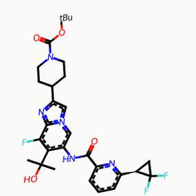 CC(C)(C)OC(=O)N1CCC(c2cn3cc(NC(=O)c4cccc([C@H]5CC5(F)F)n4)c(C(C)(C)O)c(F)c3n2)CC1